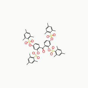 Cc1cc(C)c(S(=O)(=O)Oc2ccc(C(=O)c3ccc(OS(=O)(=O)c4c(C)cc(C)cc4C)cc3OS(=O)(=O)c3c(C)cc(C)cc3C)c(OS(=O)(=O)c3c(C)cc(C)cc3C)c2)c(C)c1